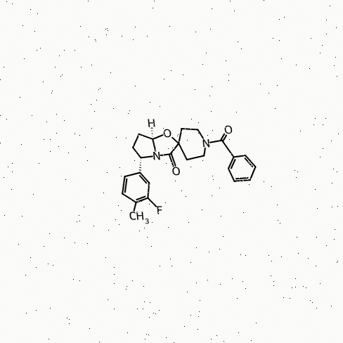 Cc1ccc([C@@H]2CC[C@H]3OC4(CCN(C(=O)c5ccccc5)CC4)C(=O)N32)cc1F